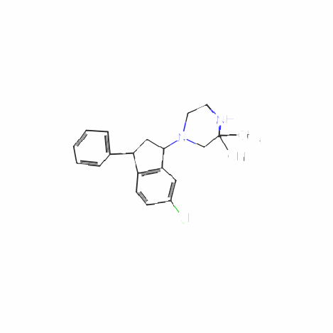 CC1(C)CN(C2CC(c3ccccc3)c3ccc(Cl)cc32)CCN1